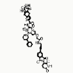 CC(C)(C)[C@H](NC(=O)c1cc2cc(C(F)(F)P(=O)(O)O)ccc2s1)C(=O)N1C[C@@H](OCC(=O)NCC#Cc2ccc3c(c2)C(=O)N(C2CCC(=O)NC2=O)C3=O)C[C@H]1C(=O)N1CCCC(c2ccccc2)C1